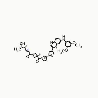 COc1cc(Nc2ccc3ncc(-c4cnn([C@@H]5CCN(C(=O)C6(F)CN(C(=O)/C=C/CN(C)C)C6)C5)c4)nc3c2)cc(OC)c1